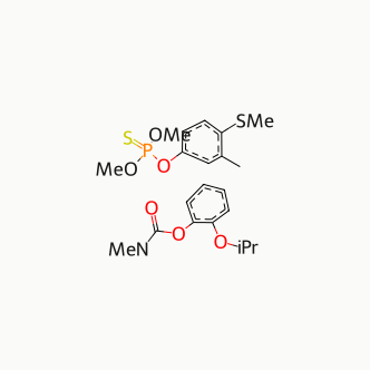 CNC(=O)Oc1ccccc1OC(C)C.COP(=S)(OC)Oc1ccc(SC)c(C)c1